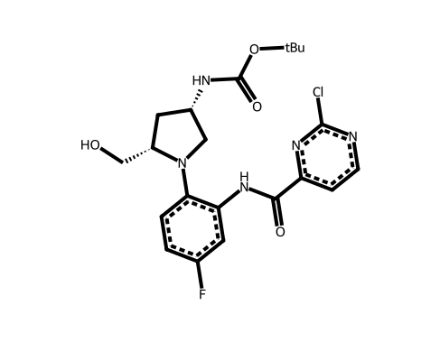 CC(C)(C)OC(=O)N[C@H]1C[C@@H](CO)N(c2ccc(F)cc2NC(=O)c2ccnc(Cl)n2)C1